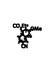 CCOC(=O)c1cc2ccc(C#N)cc2nc1OC